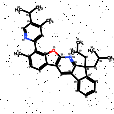 Cc1cc(-c2c(C)ccc3c2oc2nc4c(cc23)-c2ccccc2C4(CC(C)C)CC(C)C)ncc1C(C)C